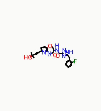 CN1C(=O)C(NC(=O)c2n[nH]c(Cc3ccccc3F)n2)COc2ccc(C#CC(C)(C)O)nc21